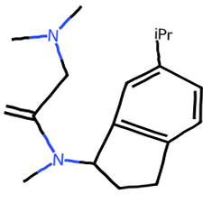 C=C(CN(C)C)N(C)C1CCc2ccc(C(C)C)cc21